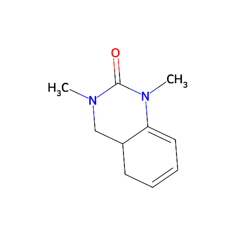 CN1CC2CC=CC=C2N(C)C1=O